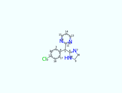 Clc1ccc(C(C2=NCCN2)c2ncccn2)cc1